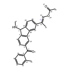 CNC1c2ccc(C(=O)c3ccccc3C)cc2-c2cc(/C(C)=N/OC(C)=O)ccc21